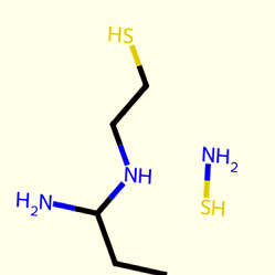 CCC(N)NCCS.NS